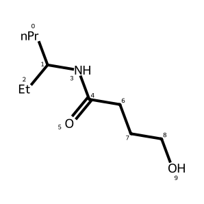 CCCC(CC)NC(=O)CCCO